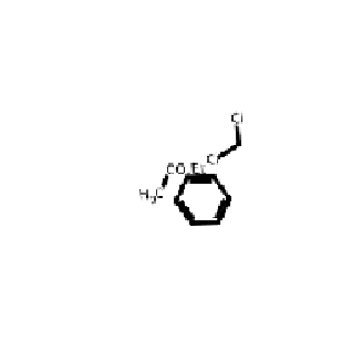 CCOC(C)=O.ClCCl.c1ccccc1